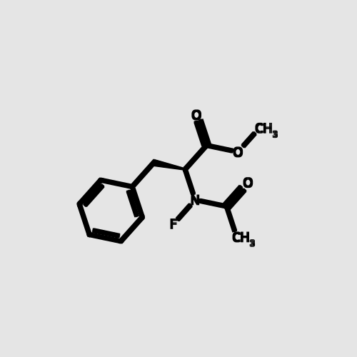 COC(=O)[C@H](Cc1ccccc1)N(F)C(C)=O